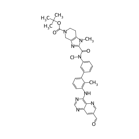 Cc1c(Nc2ncnc3cc(C=O)cnc23)cccc1-c1cccc(N(Cl)C(=O)c2nc3c(n2C)CCN(C(=O)OC(C)(C)C)C3)c1